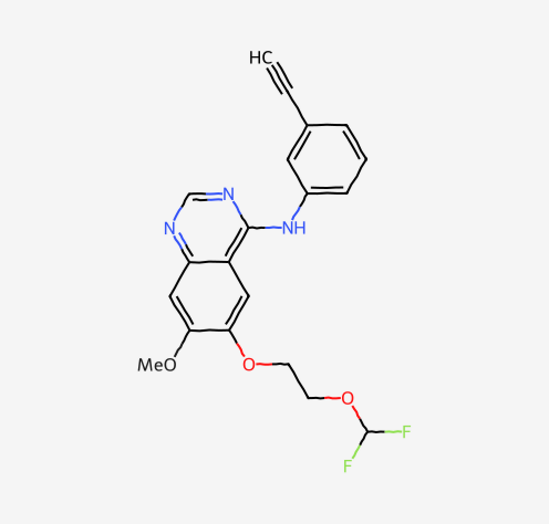 C#Cc1cccc(Nc2ncnc3cc(OC)c(OCCOC(F)F)cc23)c1